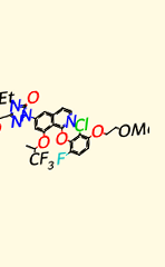 CCn1c(CO)nn(-c2cc(OC(C)C(F)(F)F)c3c(Oc4c(F)ccc(OCCOC)c4Cl)nccc3c2)c1=O